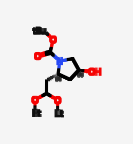 CCOC(C[C@H]1C[C@H](O)CN1C(=O)OC(C)(C)C)OCC